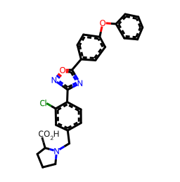 O=C(O)C1CCCN1Cc1ccc(-c2noc(-c3ccc(Oc4ccccc4)cc3)n2)c(Cl)c1